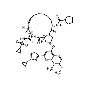 COc1ccc2c(O[C@@H]3C[C@H]4C(=O)N[C@]5(C(=O)NS(=O)(=O)C6CC6)C[C@H]5/C=C\CCCCC[C@H](NC(=O)N5CCCC5)C(=O)N4C3)cc(-c3nc(C4CC4)cs3)nc2c1C